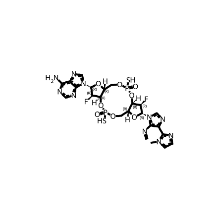 C=Nc1c(-c2nccn2C)ncn1[C@@H]1O[C@@H]2COP(=O)(S)O[C@H]3[C@@H](F)[C@H](n4cnc5c(N)ncnc54)O[C@@H]3COP(=O)(S)O[C@H]2[C@H]1F